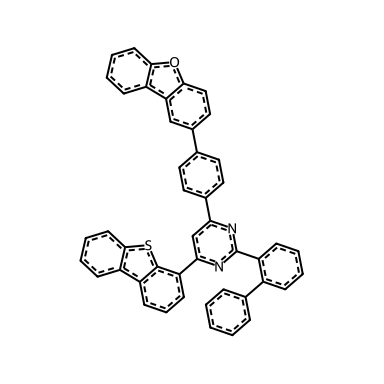 c1ccc(-c2ccccc2-c2nc(-c3ccc(-c4ccc5oc6ccccc6c5c4)cc3)cc(-c3cccc4c3sc3ccccc34)n2)cc1